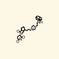 CN1C(=O)CCC(N2Cc3c(CCCN4CCN(CCNC56CC7CC(CC(C7)C5)C6)CC4)cccc3C2=O)C1=O